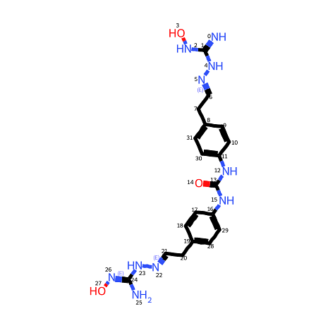 N=C(NO)N/N=C/Cc1ccc(NC(=O)Nc2ccc(C/C=N/N/C(N)=N/O)cc2)cc1